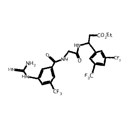 CCOC(=O)CC(NC(=O)CNC(=O)c1cc(NC(=N)N)cc(C(F)(F)F)c1)c1cc(C(F)(F)F)cc(C(F)(F)F)c1